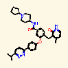 Cc1cc[nH]c(=O)c1Cc1ccc(C(=O)NC2CCN(C3CCCC3)CC2)cc1Oc1ccc(-c2ccc(C(C)C)nn2)cc1